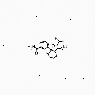 CCNCC1CCCC(C)C1(OCC(F)F)c1cccc(C(N)=O)c1